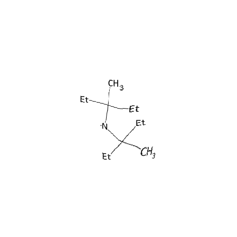 CCC(C)(CC)[N]C(C)(CC)CC